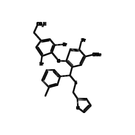 COc1cc(C(SCc2ccco2)c2cccc(C)c2)c(Oc2c(Br)cc(CC(=O)O)cc2Br)cc1C(C)C